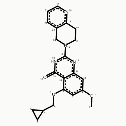 COc1cc(OCC2CC2)c2c(=O)[nH]c(N3CCc4ncccc4C3)nc2c1